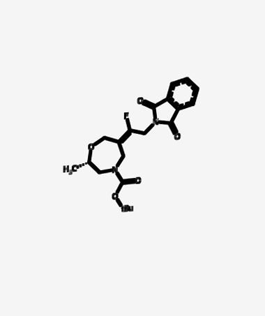 C[C@H]1CN(C(=O)OC(C)(C)C)CC(=C(F)CN2C(=O)c3ccccc3C2=O)CO1